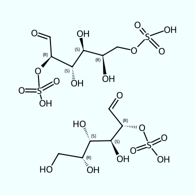 O=C[C@H](OS(=O)(=O)O)[C@@H](O)[C@@H](O)[C@H](O)CO.O=C[C@H](OS(=O)(=O)O)[C@@H](O)[C@@H](O)[C@H](O)COS(=O)(=O)O